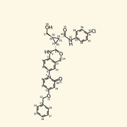 O=C(Nc1ccc(-n2ccc(OCc3ccccc3)cc2=O)cc1F)[C@@H]1[C@@H](CO)[C@@H]1C(=O)Nc1ccc(Cl)cc1